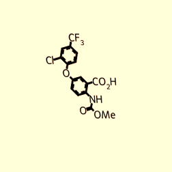 COC(=O)Nc1ccc(Oc2ccc(C(F)(F)F)cc2Cl)cc1C(=O)O